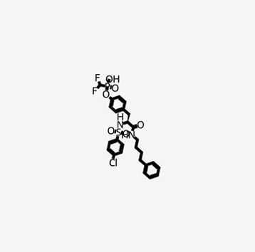 O=C(NCCCCc1ccccc1)[C@H](Cc1ccc(OP(=O)(O)C(F)F)cc1)NS(=O)(=O)c1ccc(Cl)cc1